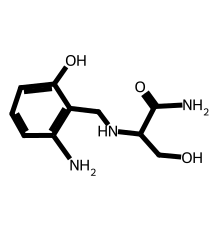 NC(=O)C(CO)NCc1c(N)cccc1O